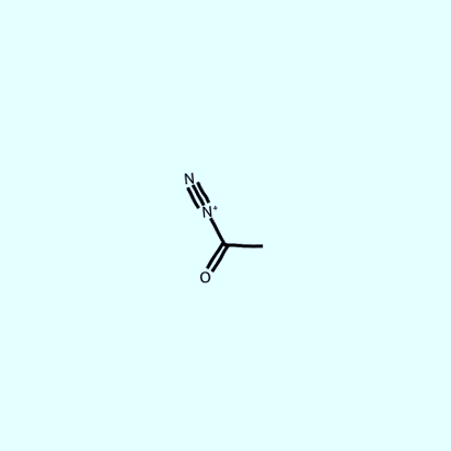 CC(=O)[N+]#N